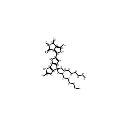 CCCCCCCCC1(CCCCCCCC)c2cc(C)sc2-c2sc(-c3sc(C)c4c3C(=O)N(C)C4=O)cc21